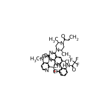 C=CC(=O)N1CC(C)N(c2nc(=O)n(-c3c(N(C)C)ccnc3C(C)C)c3nc(-c4c(F)cccc4NC(=O)C(F)(F)F)c(Cl)cc23)CC1C